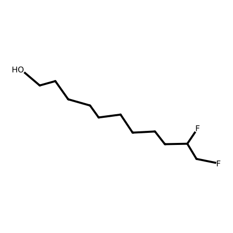 OCCCCCCCCCC(F)CF